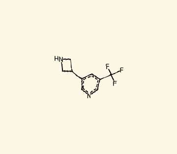 FC(F)(F)c1cncc(C2CNC2)c1